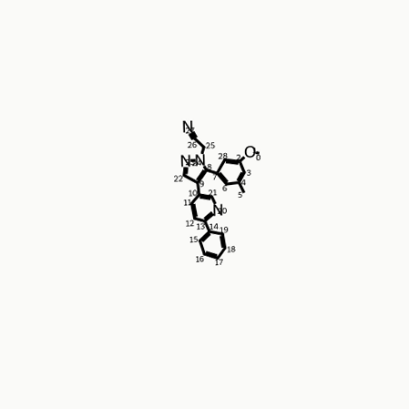 COc1cc(C)cc(-c2c(-c3ccc(-c4ccccc4)nc3)cnn2CC#N)c1